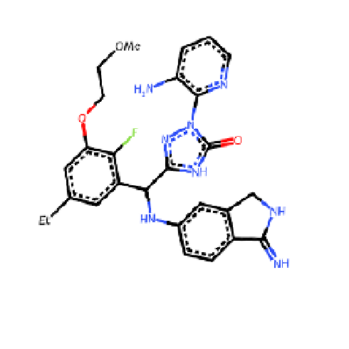 CCc1cc(OCCOC)c(F)c(C(Nc2ccc3c(c2)CNC3=N)c2nn(-c3ncccc3N)c(=O)[nH]2)c1